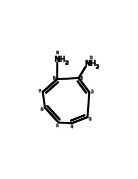 NC1=C/C=C\C=C/C=C\1N